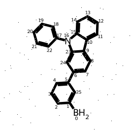 Bc1cccc(-c2ccc3c4ccccc4n(-c4ccccc4)c3c2)c1